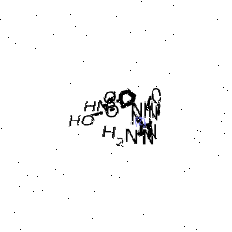 NC1=NN=C(N2CCOCC2)/C1=N\Nc1cccc(S(=O)(=O)NCCO)c1